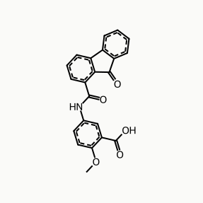 COc1ccc(NC(=O)c2cccc3c2C(=O)c2ccccc2-3)cc1C(=O)O